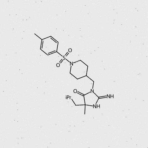 Cc1ccc(S(=O)(=O)N2CCC(CN3C(=N)NC(C)(CC(C)C)C3=O)CC2)cc1